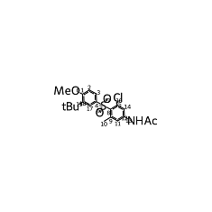 COc1ccc(S(=O)(=O)c2c(C)cc(NC(C)=O)cc2Cl)cc1C(C)(C)C